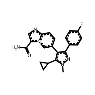 Cn1nc(-c2ccc(F)cc2)c(-c2ccc3ncc(C(N)=O)n3c2)c1C1CC1